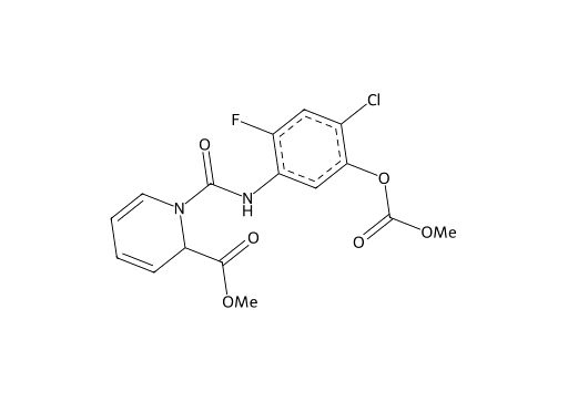 COC(=O)Oc1cc(NC(=O)N2C=CC=CC2C(=O)OC)c(F)cc1Cl